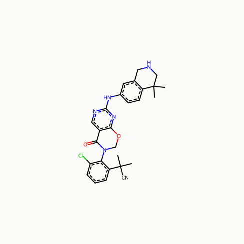 CC(C)(C#N)c1cccc(Cl)c1N1COc2nc(Nc3ccc4c(c3)CNCC4(C)C)ncc2C1=O